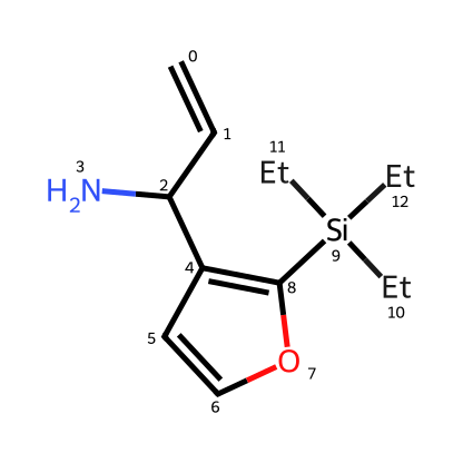 C=CC(N)c1ccoc1[Si](CC)(CC)CC